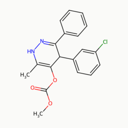 COC(=O)OC1=C(C)NN=C(c2ccccc2)C1c1cccc(Cl)c1